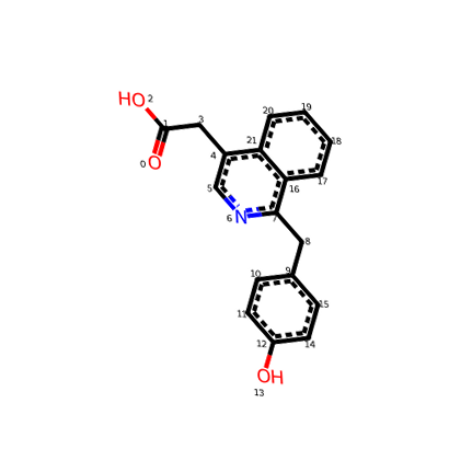 O=C(O)Cc1cnc(Cc2ccc(O)cc2)c2ccccc12